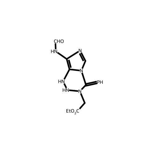 CCOC(=O)CN1NNc2c(NC=O)ncn2C1=P